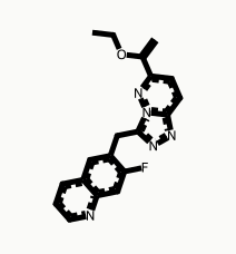 C=C(OCC)c1ccc2nnc(Cc3cc4cccnc4cc3F)n2n1